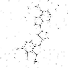 Cc1ncnc2c1ccn2C1CCC(Oc2ccc(F)c(F)c2CN)C1